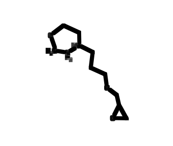 C(COCC1CO1)C[SiH]1CCO[SiH2][SiH2]1